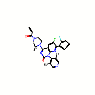 C=CC(=O)N1CCN(c2nc(=O)n(-c3c(CC)cncc3CC)c3nc(-c4ccccc4F)c(Cl)cc23)[C@@H](C)C1